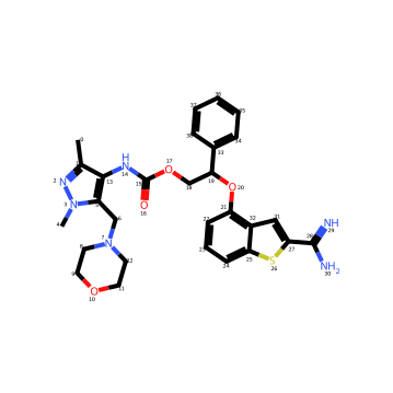 Cc1nn(C)c(CN2CCOCC2)c1NC(=O)OCC(Oc1cccc2sc(C(=N)N)cc12)c1ccccc1